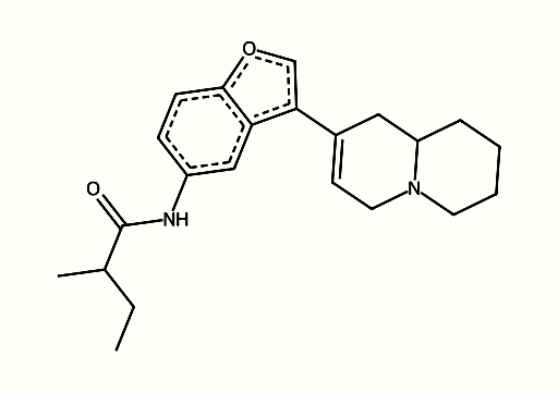 CCC(C)C(=O)Nc1ccc2occ(C3=CCN4CCCCC4C3)c2c1